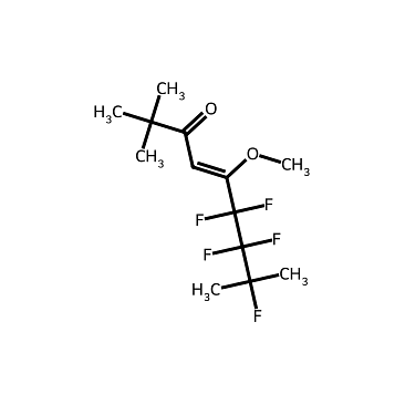 CO/C(=C\C(=O)C(C)(C)C)C(F)(F)C(F)(F)C(C)(C)F